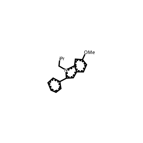 COc1ccc2cc(-c3ccccc3)n(CC(C)C)c2c1